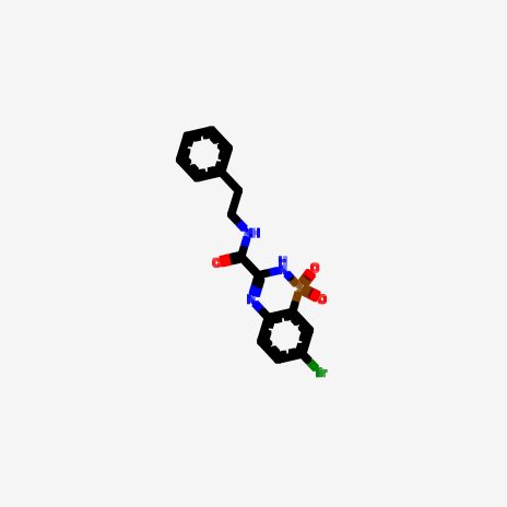 O=C(NCCc1ccccc1)C1=Nc2ccc(Br)cc2S(=O)(=O)N1